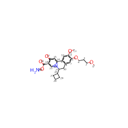 COCCCOc1cc2c(cc1OC)-c1cc(=O)c(C(=O)ON)cn1C(C1CCC1)C2